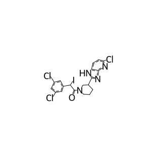 O=C(C(I)c1cc(Cl)cc(Cl)c1)N1CCCC(c2nc3nc(Cl)ccc3[nH]2)C1